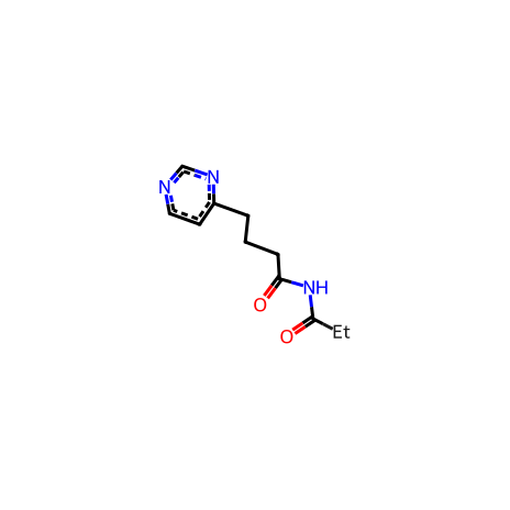 CCC(=O)NC(=O)CCCc1ccncn1